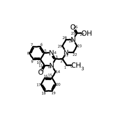 CCC(c1nc2ccccc2c(=O)n1Cc1ccccc1)N1CCN(C(=O)O)CC1